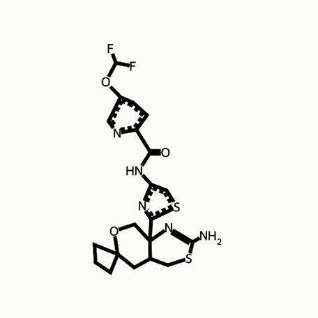 NC1=NC2(c3nc(NC(=O)c4ccc(OC(F)F)cn4)cs3)COC3(CCC3)CC2CS1